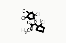 COC(=O)C(Nc1cc(Cl)c(Cl)cc1Cl)c1ccccc1Cl